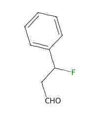 O=CCC(F)c1ccccc1